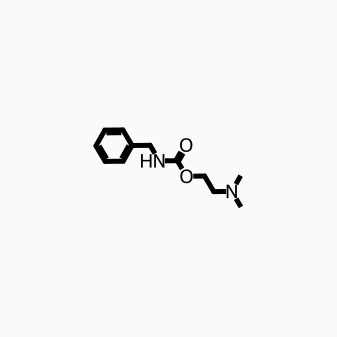 CN(C)CCOC(=O)NCc1ccccc1